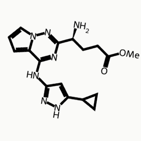 COC(=O)CC[C@H](N)c1nc(Nc2cc(C3CC3)[nH]n2)c2cccn2n1